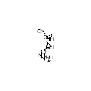 Cl.O=S(=O)(CCCCl)NCc1cccc(-c2ccc3ncnc(NC4CC4)c3c2)c1